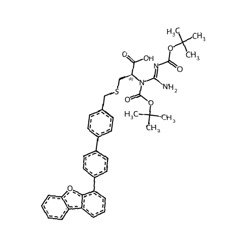 CC(C)(C)OC(=O)N=C(N)N(C(=O)OC(C)(C)C)[C@@H](CSCc1ccc(-c2ccc(-c3cccc4c3oc3ccccc34)cc2)cc1)C(=O)O